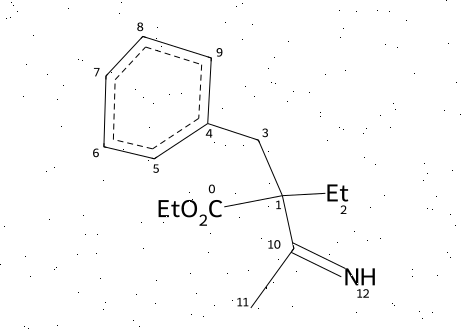 CCOC(=O)C(CC)(Cc1ccccc1)C(C)=N